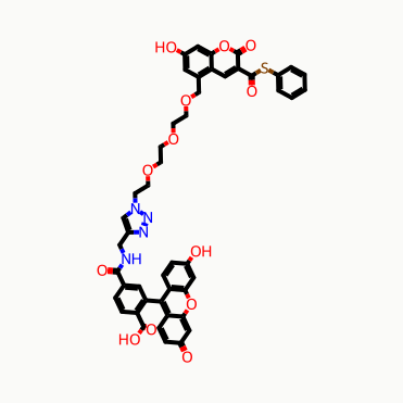 O=C(NCc1cn(CCOCCOCCOCc2cc(O)cc3oc(=O)c(C(=O)Sc4ccccc4)cc23)nn1)c1ccc(C(=O)O)c(-c2c3ccc(=O)cc-3oc3cc(O)ccc23)c1